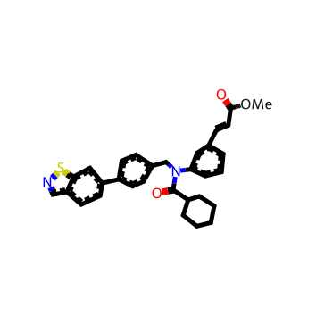 COC(=O)/C=C/c1cccc(N(Cc2ccc(-c3ccc4cnsc4c3)cc2)C(=O)C2CCCCC2)c1